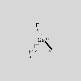 [CH3][Ge+3].[F-].[F-].[F-]